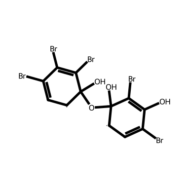 OC1=C(Br)C(O)(OC2(O)[CH]C=C(Br)C(Br)=C2Br)[CH]C=C1Br